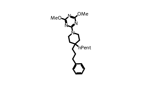 CCCCCC1(CCCc2ccccc2)CCN(c2nc(OC)nc(OC)n2)CC1